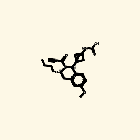 C#CC(=O)N1[C@@H](CCCC)Cc2cc(OC)ccc2[C@@H]1C12CC(NC(=O)O)(C1)C2